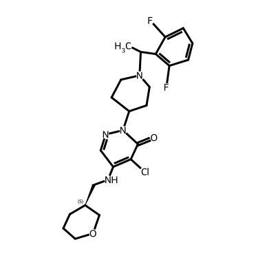 CC(c1c(F)cccc1F)N1CCC(n2ncc(NC[C@@H]3CCCOC3)c(Cl)c2=O)CC1